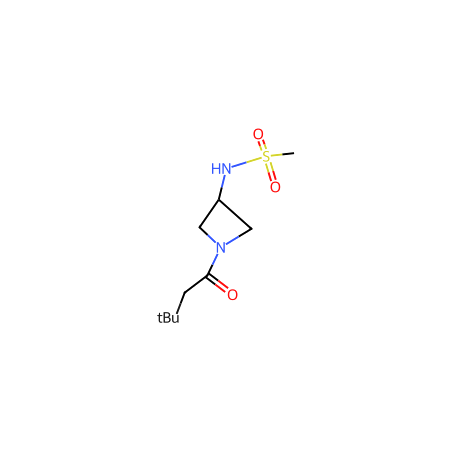 CC(C)(C)CC(=O)N1CC(NS(C)(=O)=O)C1